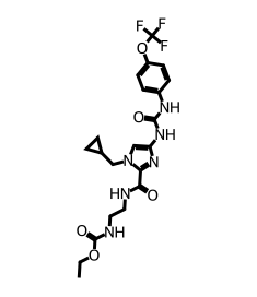 CCOC(=O)NCCNC(=O)c1nc(NC(=O)Nc2ccc(OC(F)(F)F)cc2)cn1CC1CC1